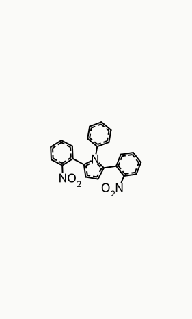 O=[N+]([O-])c1ccccc1-c1ccc(-c2ccccc2[N+](=O)[O-])n1-c1ccccc1